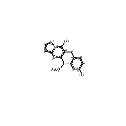 CCOC(=O)Cc1nc2ccnn2c(O)c1Cc1ccc(Cl)cc1